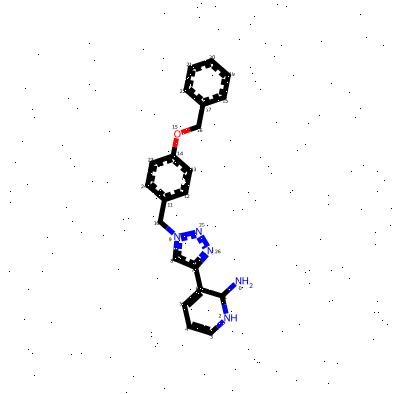 NC1NC=CC=C1c1cn(Cc2ccc(OCc3ccccc3)cc2)nn1